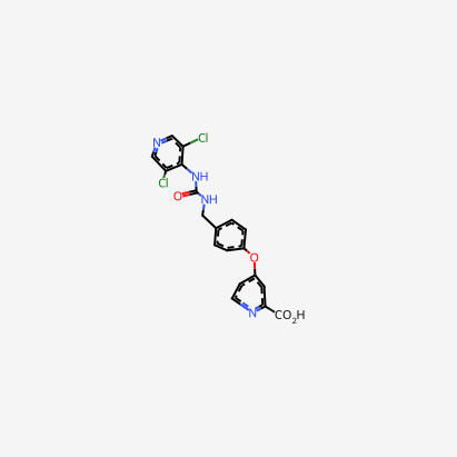 O=C(NCc1ccc(Oc2ccnc(C(=O)O)c2)cc1)Nc1c(Cl)cncc1Cl